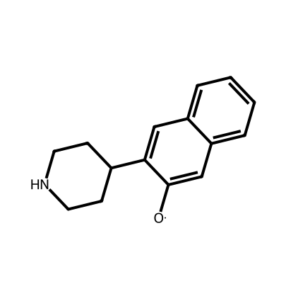 [O]c1cc2ccccc2cc1C1CCNCC1